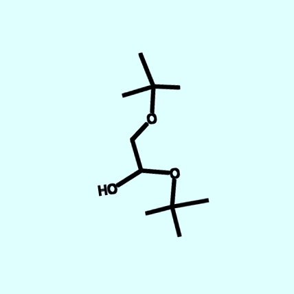 CC(C)(C)OCC(O)OC(C)(C)C